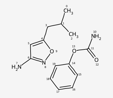 CC(C)Cc1cc(N)no1.NC(=O)Oc1ccccc1